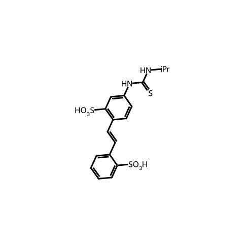 CC(C)NC(=S)Nc1ccc(/C=C/c2ccccc2S(=O)(=O)O)c(S(=O)(=O)O)c1